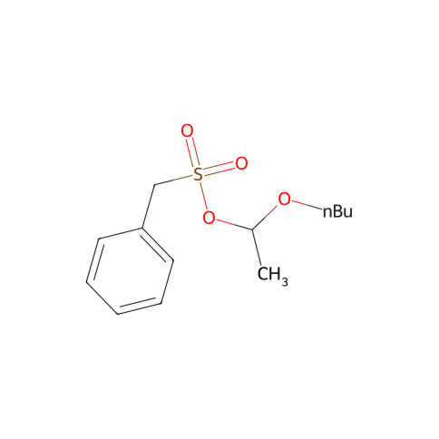 CCCCOC(C)OS(=O)(=O)Cc1ccccc1